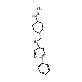 CC(C)(C)SN[C@H]1CC[C@H](CNc2cnc(-c3ccccc3)cn2)CC1